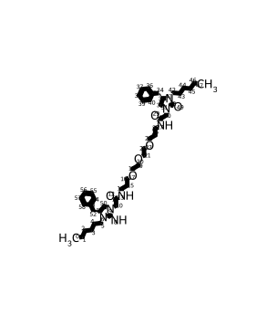 CCCCCCN1C(=N)N(CC(=O)NCCCOCCOCCOCCCNC(=O)CN2C[C@H](Cc3ccccc3)N(CCCCCC)C2=O)C[C@@H]1Cc1ccccc1